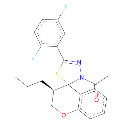 CCC[C@@H]1COc2ccccc2[C@@]12SC(c1cc(F)ccc1F)=NN2C(C)=O